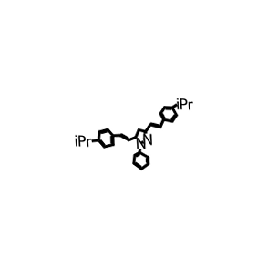 CC(C)c1ccc(C=CC2=NN(c3ccccc3)C(C=Cc3ccc(C(C)C)cc3)C2)cc1